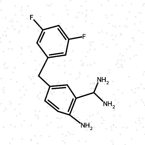 Nc1ccc(Cc2cc(F)cc(F)c2)cc1C(N)N